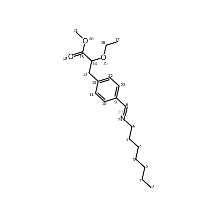 CCCCCCC/N=C/c1ccc(CC(OCC)C(=O)OC)cc1